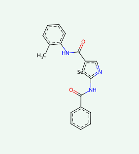 Cc1ccccc1NC(=O)c1cnc(NC(=O)c2ccccc2)[se]1